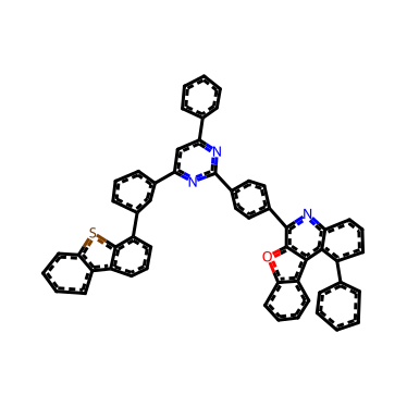 c1ccc(-c2cc(-c3cccc(-c4cccc5c4sc4ccccc45)c3)nc(-c3ccc(-c4nc5cccc(-c6ccccc6)c5c5c4oc4ccccc45)cc3)n2)cc1